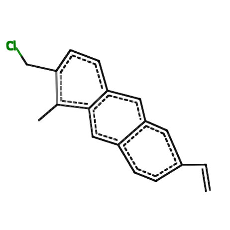 C=Cc1ccc2cc3c(C)c(CCl)ccc3cc2c1